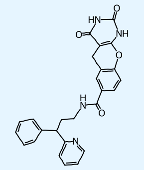 O=C(NCCC(c1ccccc1)c1ccccn1)c1ccc2c(c1)Cc1c([nH]c(=O)[nH]c1=O)O2